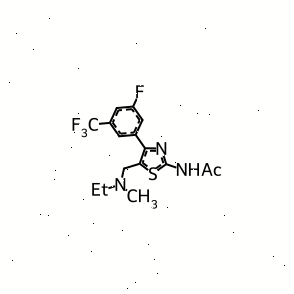 CCN(C)Cc1sc(NC(C)=O)nc1-c1cc(F)cc(C(F)(F)F)c1